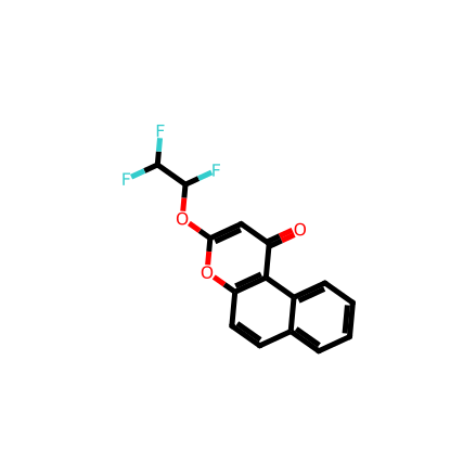 O=c1cc(OC(F)C(F)F)oc2ccc3ccccc3c12